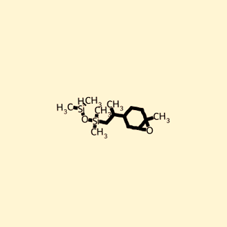 CC(C[Si](C)(C)O[SiH](C)C)C1CCC2(C)OC2C1